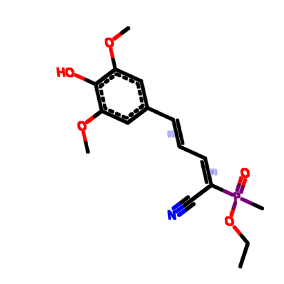 CCOP(C)(=O)/C(C#N)=C/C=C/c1cc(OC)c(O)c(OC)c1